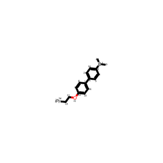 CB(C)c1ccc(-c2ccc(OCCC(C)C)cc2)cc1